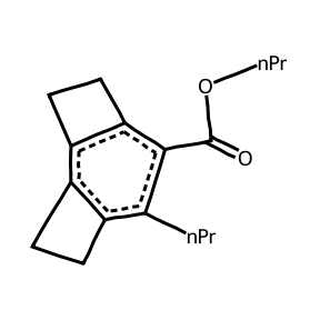 CCCOC(=O)c1c(CCC)c2c(c3c1CC3)CC2